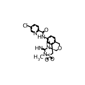 CN1C(=N)N[C@@]2(COCc3ccc(NC(=O)c4ccc(Cl)cn4)cc32)CS1(=O)=O